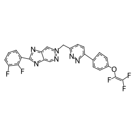 FC(F)=C(F)Oc1ccc(-c2ccc(Cn3cc4nc(-c5cccc(F)c5F)nc-4cn3)nn2)cc1